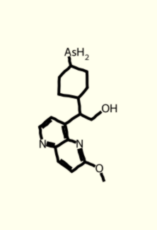 COc1ccc2nccc(C(CO)C3CCC([AsH2])CC3)c2n1